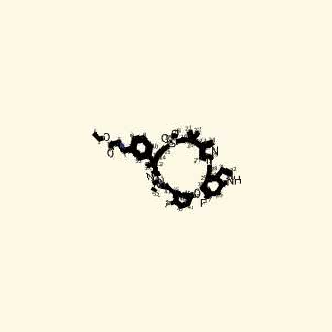 CCOC(=O)/C=C/c1cccc(C2(C)CCS(=O)(=O)CC(C)(C)c3cnn(c3)CC3=C4C=CNC4CC(F)=C3Oc3ccc(F)c(c3)-c3nc2nn3C)c1